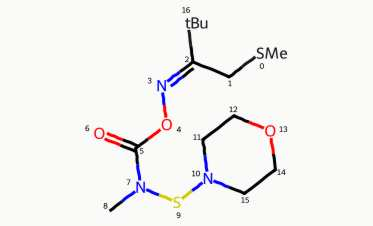 CSCC(=NOC(=O)N(C)SN1CCOCC1)C(C)(C)C